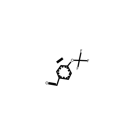 C=C.O=Cc1ccc(OC(F)(F)F)cc1